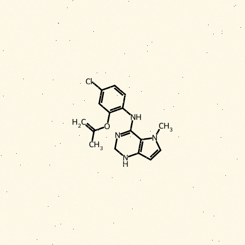 C=C(C)Oc1cc(Cl)ccc1NC1=NCNc2ccn(C)c21